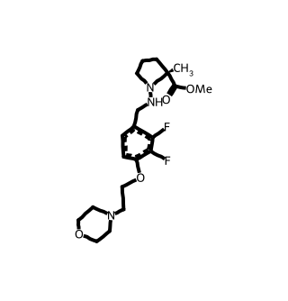 COC(=O)[C@@]1(C)CCCN1NCc1ccc(OCCN2CCOCC2)c(F)c1F